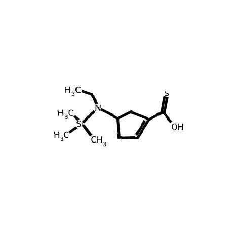 CCN(C1CC=C(C(O)=S)C1)[Si](C)(C)C